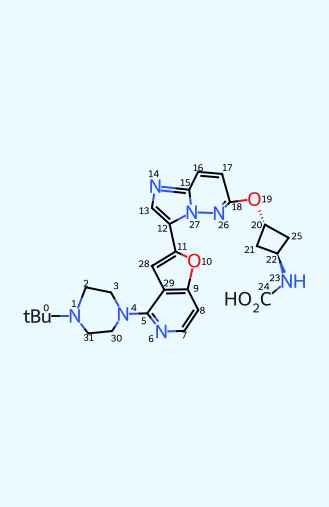 CC(C)(C)N1CCN(c2nccc3oc(-c4cnc5ccc(O[C@H]6C[C@H](NC(=O)O)C6)nn45)cc23)CC1